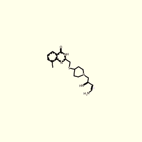 Cc1cccc2c(=O)[nH]c(CSC3CCN(CC(=N)/C=C\N)CC3)nc12